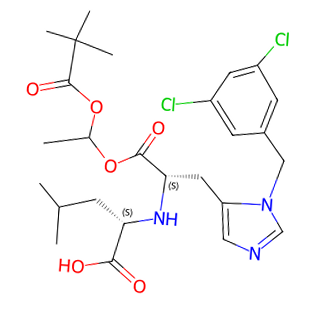 CC(C)C[C@H](N[C@@H](Cc1cncn1Cc1cc(Cl)cc(Cl)c1)C(=O)OC(C)OC(=O)C(C)(C)C)C(=O)O